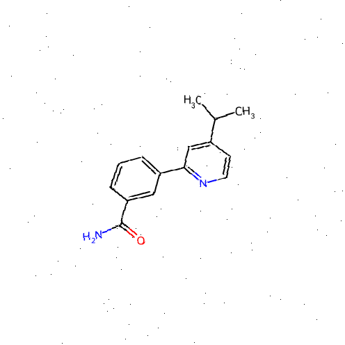 CC(C)c1ccnc(-c2cccc(C(N)=O)c2)c1